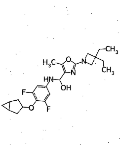 CCC1(CC)CN(c2nc(C(O)Nc3cc(F)c(OC4CC5CC5C4)c(F)c3)c(C)o2)C1